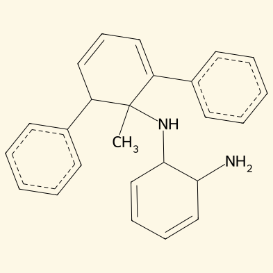 CC1(NC2C=CC=CC2N)C(c2ccccc2)=CC=CC1c1ccccc1